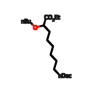 CCCCCCCCCCCCCCCCC(OCCCC)C(=O)OCC